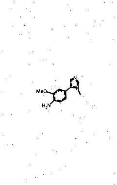 COc1cc(-c2cncn2C)ccc1N